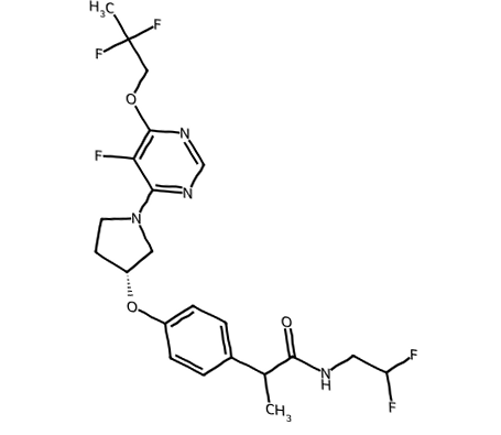 CC(C(=O)NCC(F)F)c1ccc(O[C@@H]2CCN(c3ncnc(OCC(C)(F)F)c3F)C2)cc1